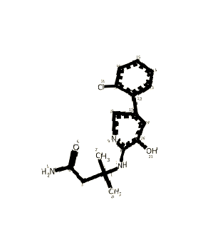 CC(C)(CC(N)=O)Nc1ncc(-c2ccccc2Cl)cc1O